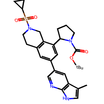 Cc1c[nH]c2ncc(-c3cc4c(c(C5CCCN5C(=O)OC(C)(C)C)c3)CN(S(=O)(=O)C3CC3)CC4)cc12